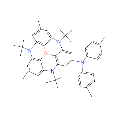 Cc1ccc(N(c2ccc(C)cc2)c2cc3c4c(c2)N(C(C)(C)C)c2cc(C)cc5c2B4c2c(cc(C)cc2N3C(C)(C)C)N5C(C)(C)C)cc1